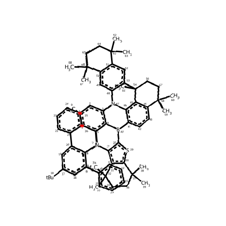 Cc1cc2c3c(c1)N(c1c(-c4ccccc4)cc(C(C)(C)C)cc1-c1ccccc1)c1c(sc4c1C(C)(C)CCC4(C)C)B3c1ccc3c4c1N2c1cc2c(cc1C4(C)CCC3(C)C)C(C)(C)CCC2(C)C